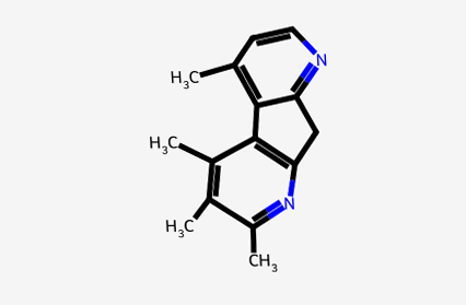 Cc1ccnc2c1-c1c(nc(C)c(C)c1C)C2